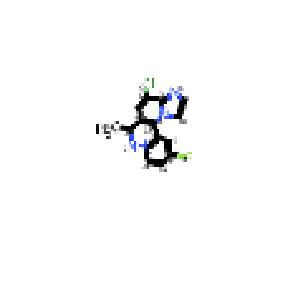 CC(N)c1cc(Cl)c2nccn2c1-c1cccc(F)c1